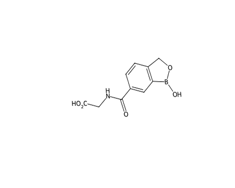 O=C(O)CNC(=O)c1ccc2c(c1)B(O)OC2